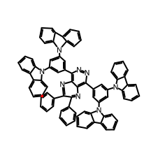 c1ccc(-c2nc3c(-c4cc(-n5c6ccccc6c6ccccc65)cc(-n5c6ccccc6c6ccccc65)c4)nnc(-c4cc(-n5c6ccccc6c6ccccc65)cc(-n5c6ccccc6c6ccccc65)c4)c3nc2-c2ccccc2)cc1